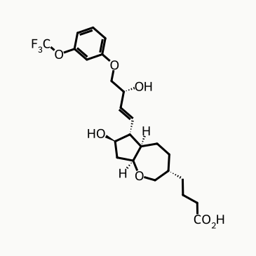 O=C(O)CCC[C@H]1CC[C@@H]2[C@@H](/C=C/[C@@H](O)COc3cccc(OC(F)(F)F)c3)[C@H](O)C[C@@H]2OC1